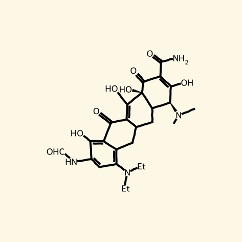 CCN(CC)c1cc(NC=O)c(O)c2c1CC1CC3[C@H](N(C)C)C(O)=C(C(N)=O)C(=O)[C@@]3(O)C(O)=C1C2=O